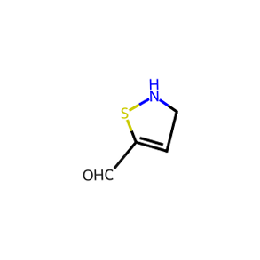 O=CC1=CCNS1